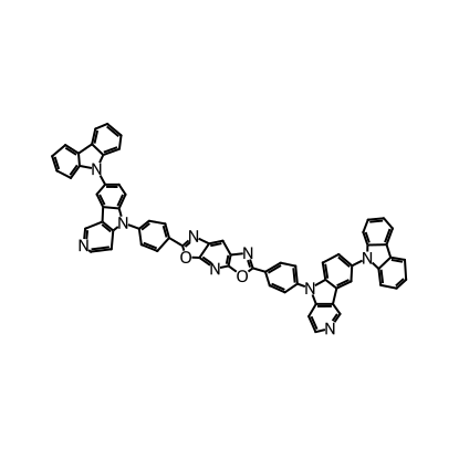 c1ccc2c(c1)c1ccccc1n2-c1ccc2c(c1)c1cnccc1n2-c1ccc(-c2nc3cc4nc(-c5ccc(-n6c7ccncc7c7cc(-n8c9ccccc9c9ccccc98)ccc76)cc5)oc4nc3o2)cc1